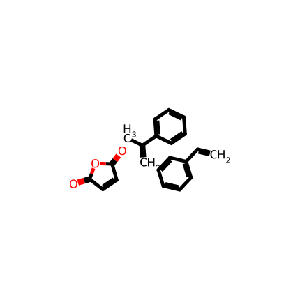 C=C(C)c1ccccc1.C=Cc1ccccc1.O=C1C=CC(=O)O1